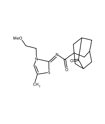 COCCn1cc(C)sc1=NC(=O)C12CC3CC(C1)C(=O)C(C3)C2